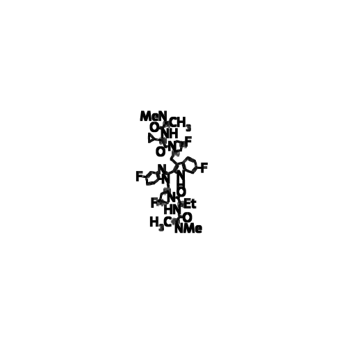 CC[C@H](NC(=O)[C@H](C)NC)C(=O)N1C[C@@H](F)C[C@H]1Cn1c(-c2[nH]c3cc(F)ccc3c2C[C@@H]2C[C@H](F)CN2C(=O)[C@@H](NC(=O)[C@H](C)NC)C2CC2)nc2cc(F)ccc21